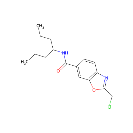 CCCC(CCC)NC(=O)c1ccc2nc(CCl)oc2c1